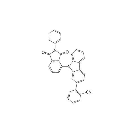 N#Cc1ccncc1-c1ccc2c3ccccc3n(-c3cccc4c3C(=O)N(c3ccccc3)C4=O)c2c1